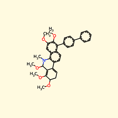 COC1=C2C(=CCC1OC)c1ccc3c(-c4ccc(-c5ccccc5)cc4)c(OC)c(OC)cc3c1N(C)C2OC